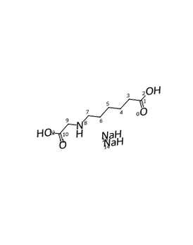 O=C(O)CCCCCNCC(=O)O.[NaH].[NaH]